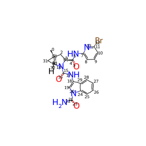 C[C@@]12C[C@@H](C(=O)Nc3cccc(Br)n3)N(C(=O)Nc3cn(C(N)=O)c4ccccc34)[C@@H]1C2